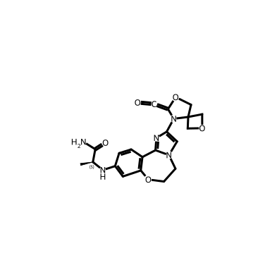 C[C@H](Nc1ccc2c(c1)OCCn1cc(N3C(=C=O)OCC34COC4)nc1-2)C(N)=O